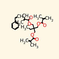 C=C(C)C(=O)OCC(CC)(COC(=O)C(=C)C)COC(=O)C(=C)C.C=Cc1ccccc1